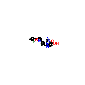 CCn1cncc1Cn1c(Cc2ccc(-c3cccc(OCc4ccc(C)cc4F)n3)cc2F)nc2ccc(C(=O)O)cc21